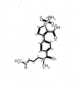 CNCCCN(C)C(=O)c1ccc(-c2ccn(S(N)(=O)=O)c2C(=O)O)cc1